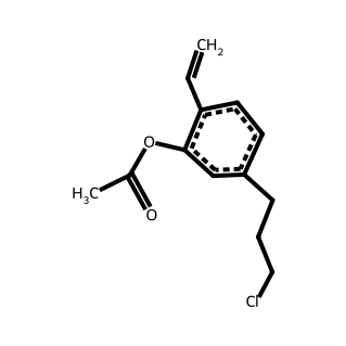 C=Cc1ccc(CCCCl)cc1OC(C)=O